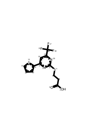 O=C(O)CCSc1nc(-c2cccs2)cc(C(F)(F)F)n1